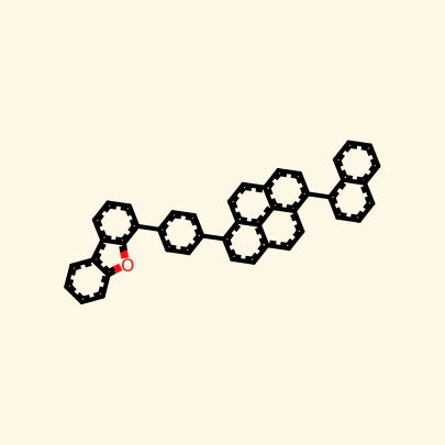 c1ccc2c(-c3ccc4ccc5c(-c6ccc(-c7cccc8c7oc7ccccc78)cc6)ccc6ccc3c4c65)cccc2c1